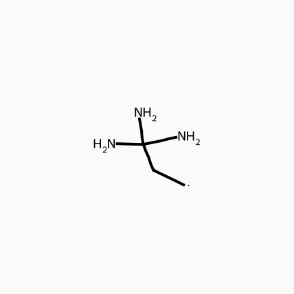 [CH2]CC(N)(N)N